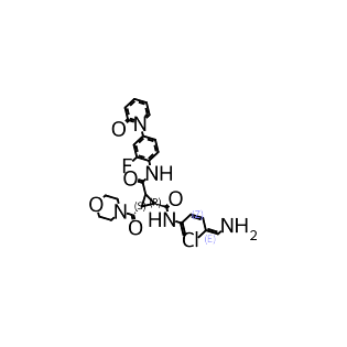 C=C(/C=C\C(Cl)=C/N)NC(=O)[C@@H]1C(C(=O)Nc2ccc(-n3ccccc3=O)cc2F)[C@H]1C(=O)N1CCOCC1